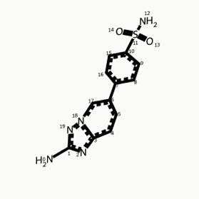 Nc1nc2ccc(-c3ccc(S(N)(=O)=O)cc3)cn2n1